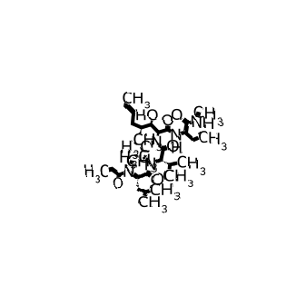 C/C=C/C[C@@H](C)[C@@H](O)[C@@H](C(=O)NC(CC)C(=O)NC)N(C)C(=O)[C@H](C(C)C)N(C)C(=O)[C@H](CC(C)C)N(C)C(=O)CC